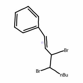 CCCCC(Br)C(Br)/C=C/c1ccccc1